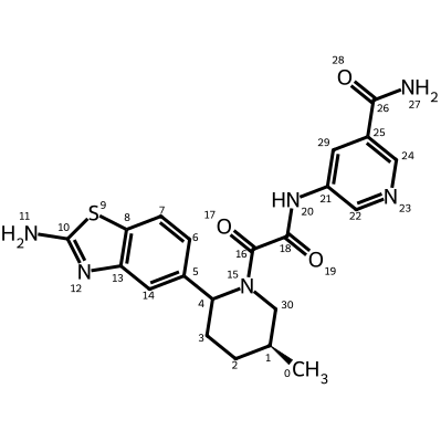 C[C@H]1CCC(c2ccc3sc(N)nc3c2)N(C(=O)C(=O)Nc2cncc(C(N)=O)c2)C1